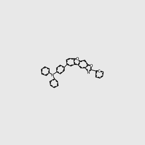 c1ccc(-c2nc3cc4c(cc3o2)oc2ccc(-c3ccc(N(c5ccccc5)c5ccccc5)cc3)cc24)cc1